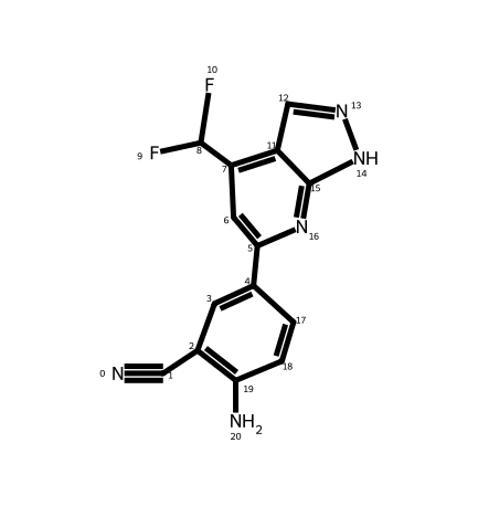 N#Cc1cc(-c2cc(C(F)F)c3cn[nH]c3n2)ccc1N